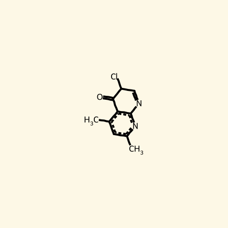 Cc1cc(C)c2c(n1)N=CC(Cl)C2=O